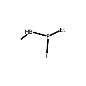 CBP(I)CC